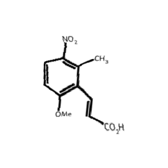 COc1ccc([N+](=O)[O-])c(C)c1/C=C/C(=O)O